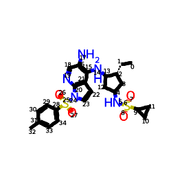 CC[C@@H]1CC(NS(=O)(=O)C2CC2)CC1Nc1c(N)cnc2c1ccn2S(=O)(=O)c1ccc(C)cc1